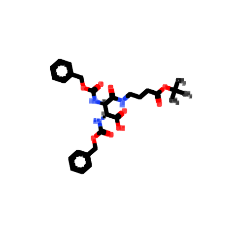 CC(C)(C)OC(=O)CCCNC(=O)[C@H](NC(=O)OCc1ccccc1)[C@@H](NC(=O)OCc1ccccc1)C(=O)O